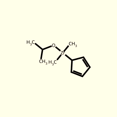 CC(C)[O][Zr]([CH3])([CH3])[CH]1C=CC=C1